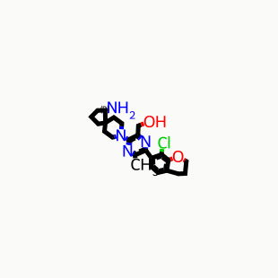 Cc1nc(N2CCC3(CCC[C@H]3N)CC2)c(CO)nc1-c1ccc2c(c1Cl)OCCC2